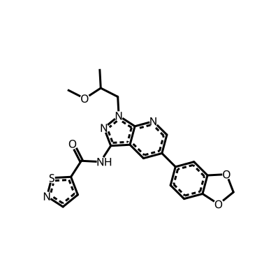 COC(C)Cn1nc(NC(=O)c2ccns2)c2cc(-c3ccc4c(c3)OCO4)cnc21